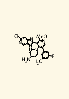 COc1ncc(-c2cc(C)cc(F)c2)c(N2CCC(N)CC2)c1-c1nc2cc(Cl)ncc2[nH]1